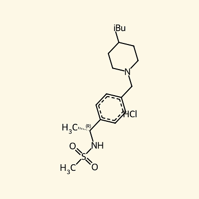 CCC(C)C1CCN(Cc2ccc([C@@H](C)NS(C)(=O)=O)cc2)CC1.Cl